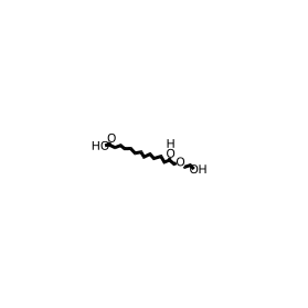 O=C(O)CCCCCCCCCCCC(O)COCCO